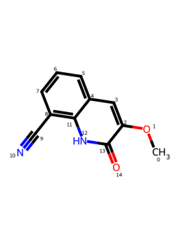 COc1cc2cccc(C#N)c2[nH]c1=O